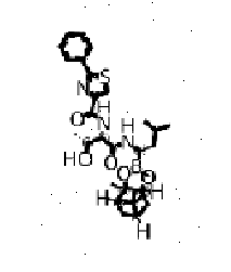 CC(C)C[C@H](NC(=O)[C@@H](NC(=O)c1csc(-c2ccccc2)n1)[C@@H](C)O)B1O[C@@H]2C[C@@H]3C[C@@H](C3(C)C)[C@]2(C)O1